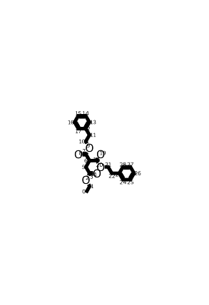 CCOC(=O)CC(C(=O)OCCc1ccccc1)C(=O)OCCc1ccccc1